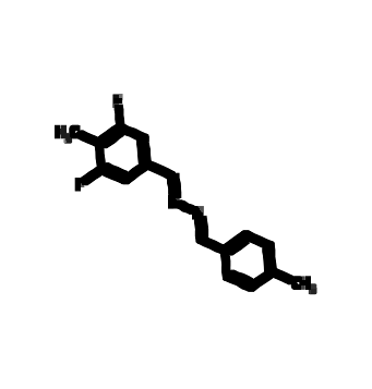 Cc1ccc(C=NN=Cc2cc(F)c(C)c(F)c2)cc1